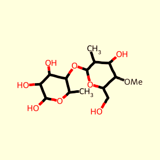 COC1C(CO)OC(OC2C(C)OC(O)C(O)C2O)C(C)C1O